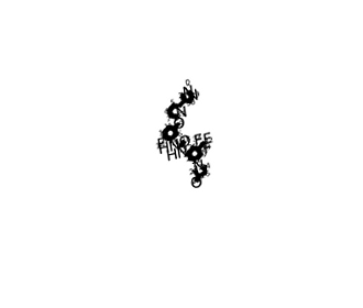 Cn1cc(-c2cccc(Oc3ccc(F)c(NC(=O)Nc4cc(N5CCC(=O)C5)cc(C(F)(F)F)c4)c3)n2)cn1